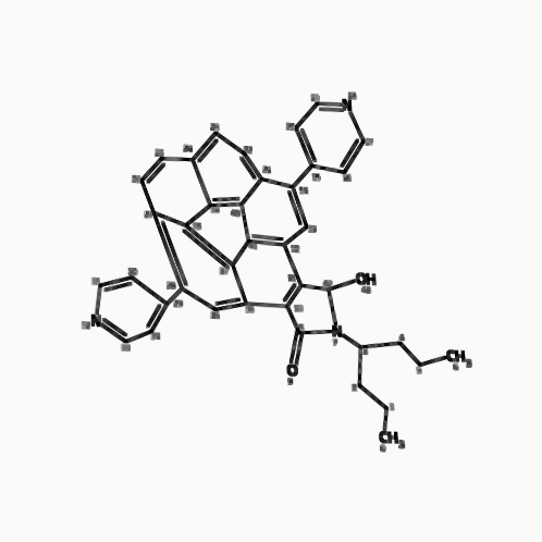 CCCC(CCC)N1C(=O)c2c(c3cc(-c4ccncc4)c4ccc5ccc6c(-c7ccncc7)cc2c2c6c5c4c32)C1O